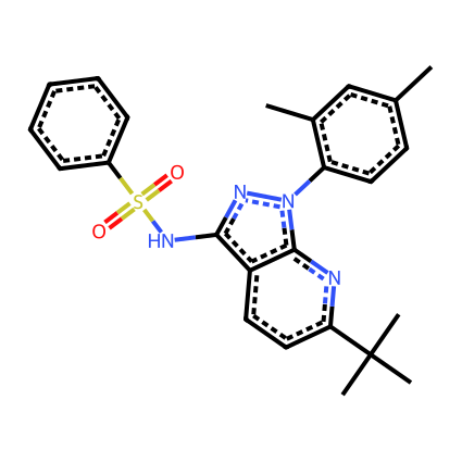 Cc1ccc(-n2nc(NS(=O)(=O)c3ccccc3)c3ccc(C(C)(C)C)nc32)c(C)c1